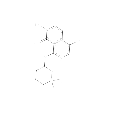 Cn1ccc2c(Br)cnc(NC3CCCS(O)(O)C3)c2c1=O